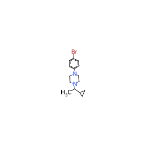 CC(C1CC1)N1CCN(c2ccc(Br)cc2)CC1